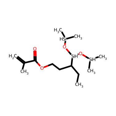 C=C(C)C(=O)OCCC(CC)[SiH](O[SiH](C)C)O[SiH](C)C